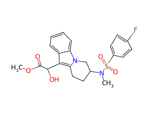 COC(=O)C(O)c1c2n(c3ccccc13)CC(N(C)S(=O)(=O)c1ccc(F)cc1)CC2